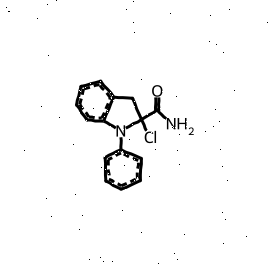 NC(=O)C1(Cl)Cc2ccccc2N1c1ccccc1